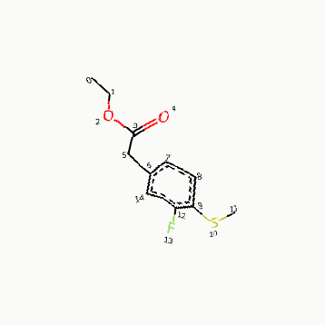 CCOC(=O)Cc1ccc(SC)c(F)c1